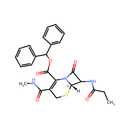 CCC(=O)NC1C(=O)N2C(C(=O)OC(c3ccccc3)c3ccccc3)=C(C(=O)NC)CS[C@@H]12